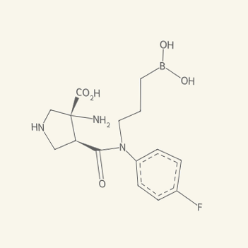 N[C@@]1(C(=O)O)CNC[C@@H]1C(=O)N(CCCB(O)O)c1ccc(F)cc1